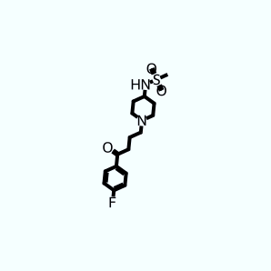 CS(=O)(=O)NC1CCN(CCCC(=O)c2ccc(F)cc2)CC1